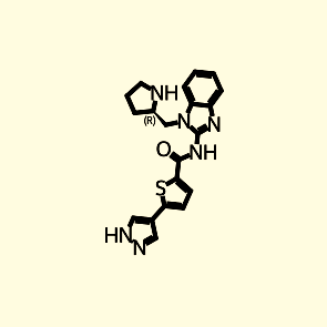 O=C(Nc1nc2ccccc2n1C[C@H]1CCCN1)c1ccc(-c2cn[nH]c2)s1